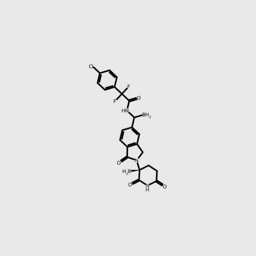 BC(NC(=O)C(F)(F)c1ccc(Cl)cc1)c1ccc2c(c1)CN([C@]1(B)CCC(=O)NC1=O)C2=O